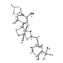 CC(C)C[C@@H](C(=O)N[C@@H]1CC[C@H]2CN(Cc3ccc(F)c(C(F)(F)F)c3)C[C@H]21)N(C)C(=O)O